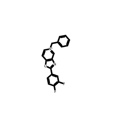 Fc1ccc(-c2nc3c[n+](Cc4ccccc4)ccc3o2)cc1F